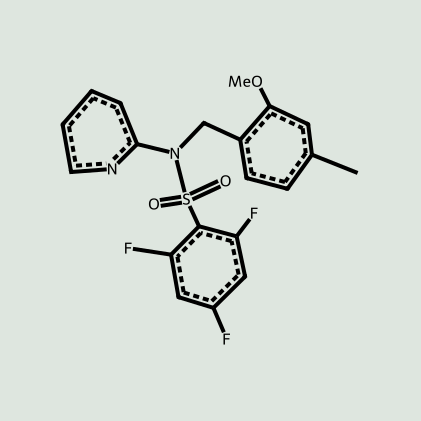 COc1cc(C)ccc1CN(c1ccccn1)S(=O)(=O)c1c(F)cc(F)cc1F